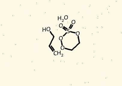 C=CCO.O.O=S1(=O)OCCOO1